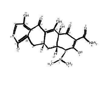 CN(C)[C@@H]1C(O)=C(C(N)=O)C(=O)[C@@]2(O)C(O)=C3C(=O)c4c(O)cnc(Cl)c4C[C@H]3C[C@@H]12